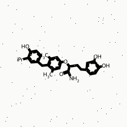 Cc1cc(OC(CCc2ccc(O)c(O)c2)C(N)=O)cc(C)c1Cc1ccc(O)c(C(C)C)c1